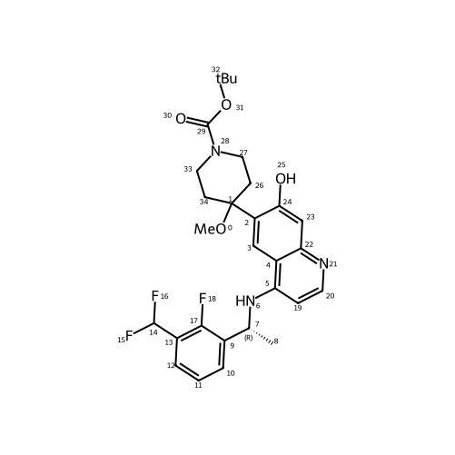 COC1(c2cc3c(N[C@H](C)c4cccc(C(F)F)c4F)ccnc3cc2O)CCN(C(=O)OC(C)(C)C)CC1